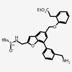 CCOC(=O)Cc1ccccc1OCc1cc(-c2cccc(CN)c2)c2oc(CN[S@+]([O-])C(C)(C)C)cc2c1